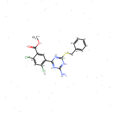 COC(=O)c1cc(-c2nc(N)nc(SCc3ccccc3)n2)c(Cl)cc1Cl